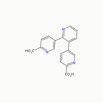 O=C(O)c1ccc(-c2cccnc2-c2ccc(C(=O)O)nc2)cn1